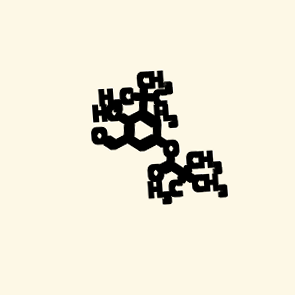 CC(C)(C)C(=O)Oc1cc(C=O)c(O)c(C(C)(C)C)c1